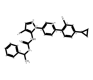 CC(OC(=O)Nc1c(F)cnn1-c1ccc(-c2ccc(C3CC3)cc2F)nc1)c1ccccc1